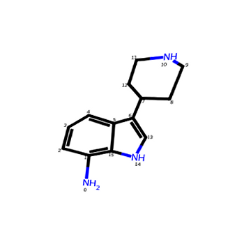 Nc1cccc2c(C3CCNCC3)c[nH]c12